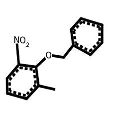 Cc1cccc([N+](=O)[O-])c1OCc1ccccc1